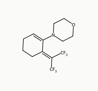 FC(F)(F)C(=C1CCCC=C1N1CCOCC1)C(F)(F)F